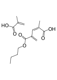 C=C(C)C(=O)O.C=C(C=C(C)C(=O)O)C(=O)OCCCC